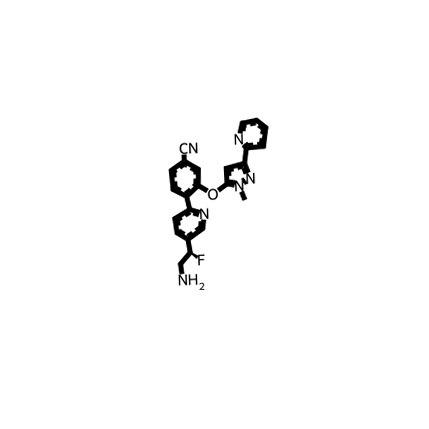 Cn1nc(-c2ccccn2)cc1Oc1cc(C#N)ccc1-c1ccc([C@@H](F)CN)cn1